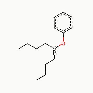 CCCC[SiH](CCCC)Oc1ccccc1